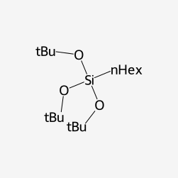 CCCCCC[Si](OC(C)(C)C)(OC(C)(C)C)OC(C)(C)C